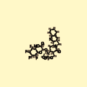 CC[C@@]1(OC(Oc2c(F)c(F)c(F)c(F)c2F)C(=O)O)C(=O)OCc2c1cc1n(c2=O)Cc2cc3ccccc3nc2-1